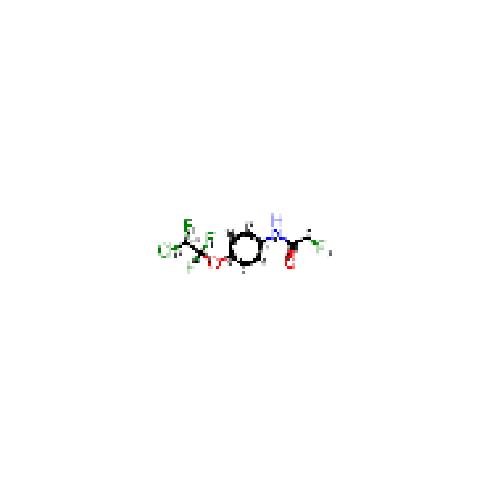 O=C(CF)Nc1ccc(OC(F)(F)C(F)Cl)cc1